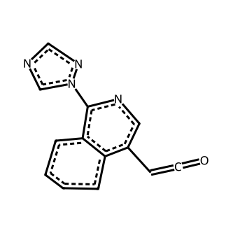 O=C=Cc1cnc(-n2cncn2)c2ccccc12